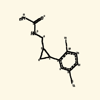 CCCC(=O)NCC1CC1c1cc(F)ccc1I